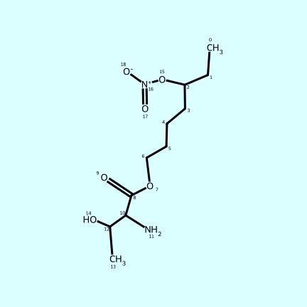 CCC(CCCCOC(=O)C(N)C(C)O)O[N+](=O)[O-]